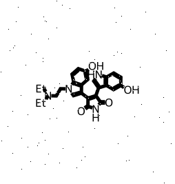 CCN(CC)CCn1cc(C2=C(c3c[nH]c4ccc(O)cc34)C(=O)NC2=O)c2cc(O)ccc21